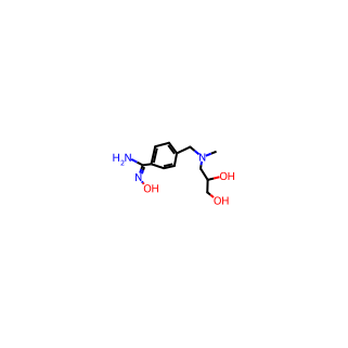 CN(Cc1ccc(/C(N)=N\O)cc1)CC(O)CO